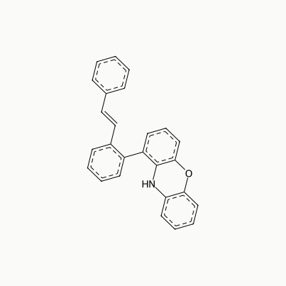 C(=Cc1ccccc1-c1cccc2c1Nc1ccccc1O2)c1ccccc1